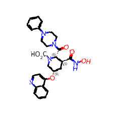 O=C(NO)[C@H]1C[C@H](Oc2ccnc3ccccc23)CN(C(=O)O)[C@@H]1C(=O)N1CCN(c2ccccc2)CC1